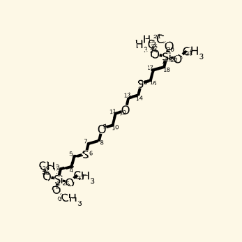 CO[Si](CCCSCCOCCOCCSCCC[Si](OC)(OC)OC)(OC)OC